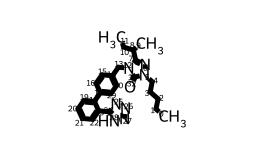 CCCCCn1nc(C(C)CC)n(Cc2ccc(-c3ccccc3-c3nnn[nH]3)cc2)c1=O